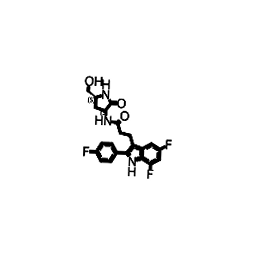 O=C(CCc1c(-c2ccc(F)cc2)[nH]c2c(F)cc(F)cc12)N[C@H]1C[C@@H](CO)NC1=O